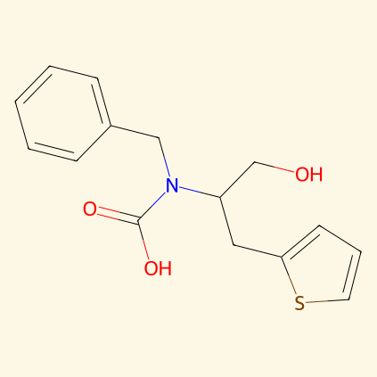 O=C(O)N(Cc1ccccc1)C(CO)Cc1cccs1